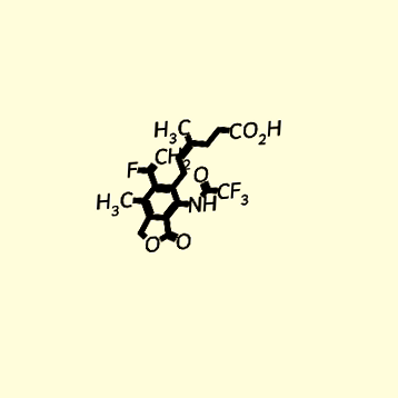 C=C(F)c1c(C)c2c(c(NC(=O)C(F)(F)F)c1CC=C(C)CCC(=O)O)C(=O)OC2